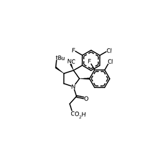 CC(C)(C)C[C@@H]1CN(C(=O)CC(=O)O)[C@H](c2cccc(Cl)c2F)[C@@]1(C#N)c1ccc(Cl)cc1F